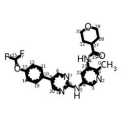 Cc1ncc(Nc2ncc(-c3ccc(OC(F)F)cc3)cn2)cc1NC(=O)C1CCOCC1